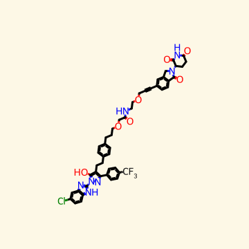 O=C(COCCCc1ccc(CCc2c(-c3ccc(C(F)(F)F)cc3)nn(-c3nc4cc(Cl)ccc4[nH]3)c2O)cc1)NCCOCC#Cc1ccc2c(c1)CN(C1CCC(=O)NC1=O)C2=O